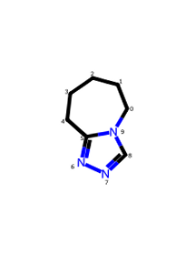 [CH]1CCCCc2nncn21